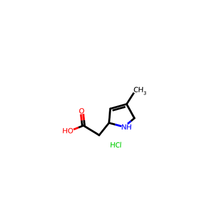 CC1=CC(CC(=O)O)NC1.Cl